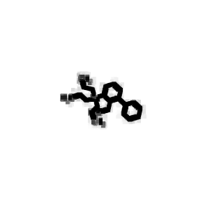 C=C[CH2][Sn]([CH2]C=C)([CH2]C=C)[c]1cccc(-c2ccccc2)c1C=C